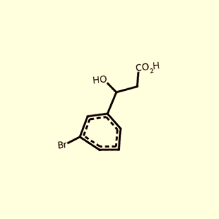 O=C(O)CC(O)c1cccc(Br)c1